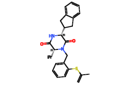 C=C(C)Sc1ccccc1CN1C(=O)[C@@H](C2Cc3ccccc3C2)NC(=O)[C@H]1C(C)C